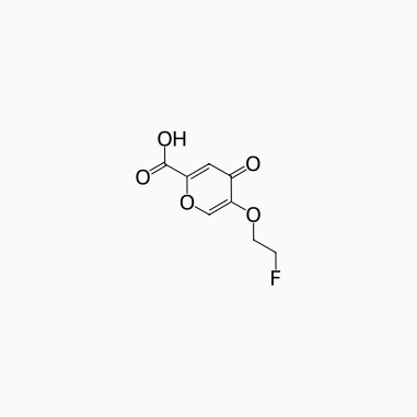 O=C(O)c1cc(=O)c(OCCF)co1